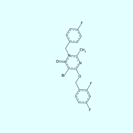 Cc1nc(OCc2ccc(F)cc2F)c(Br)c(=O)n1Cc1ccc(F)cc1